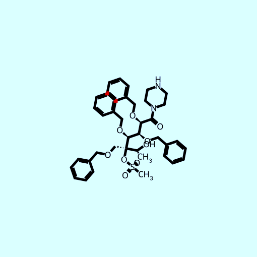 C[C@@H](O)[C@@](COCc1ccccc1)(OS(C)(=O)=O)[C@@H](OCc1ccccc1)[C@H](OCc1ccccc1)[C@@H](OCc1ccccc1)C(=O)N1CCNCC1